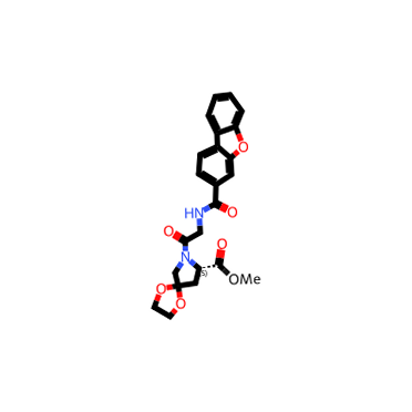 COC(=O)[C@@H]1CC2(CN1C(=O)CNC(=O)c1ccc3c(c1)oc1ccccc13)OCCO2